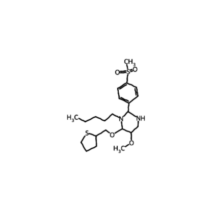 CCCCCN1C(c2ccc(S(C)(=O)=O)cc2)NCC(OC)C1OCC1CCCS1